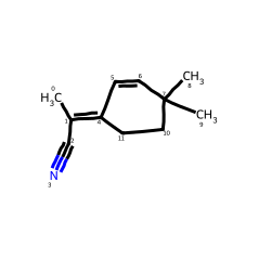 CC(C#N)=C1C=CC(C)(C)CC1